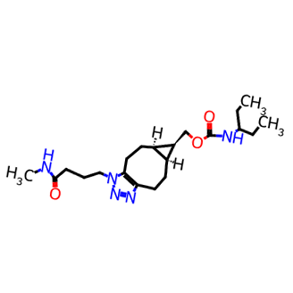 CCC(CC)NC(=O)OC[C@@H]1[C@@H]2CCc3c(nnn3CCCC(=O)NC)CC[C@@H]21